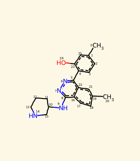 Cc1ccc(-c2nnc(NC3CCCNC3)c3ccc(C)cc23)c(O)c1